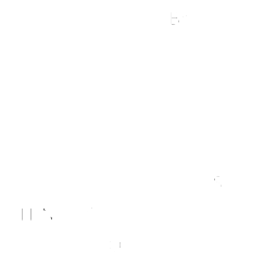 NC(=O)Cc1csc2ccc(Br)cc12